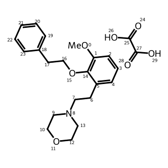 COc1cccc(CCN2CCOCC2)c1OCCc1ccccc1.O=C(O)C(=O)O